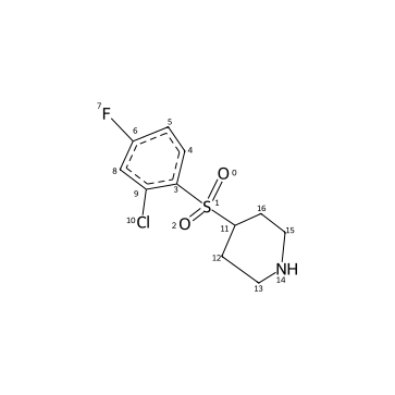 O=S(=O)(c1ccc(F)cc1Cl)C1CCNCC1